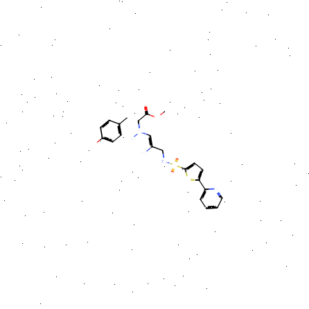 COC(=O)[C@@H](Cc1ccc(O)cc1)N(N)/C=C(\N)CNS(=O)(=O)c1ccc(-c2ccccn2)s1